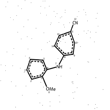 COc1ccc[c]c1Nc1ccc(C#N)cc1